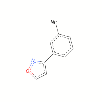 N#Cc1cccc(-c2ccon2)c1